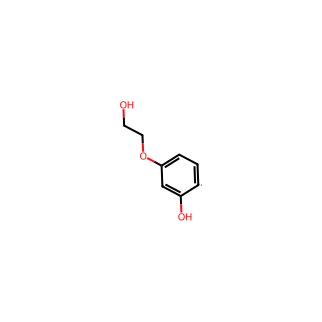 OCCOc1cc[c]c(O)c1